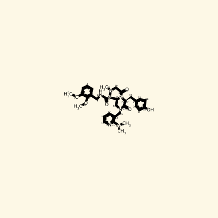 COc1cccc(CNC(=O)N2C3CN(Cc4cccnc4N(C)C)C(=O)[C@H](Cc4ccc(O)cc4)N3C(=O)CN2C)c1OC